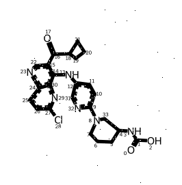 O=C(O)NC1CCCN(c2ccc(Nc3c(C(=O)C4CCC4)cnc4ccc(Cl)nc34)cn2)C1